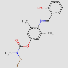 Cc1cc(OC(=O)N(C)S[S])cc(C)c1N=Cc1ccccc1O